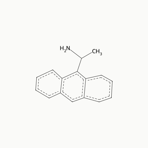 CC(N)c1c2ccccc2cc2ccccc12